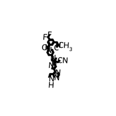 CN(C)Cc1cc(C(=O)N2CCC(N3CC(CC#N)(n4cc(-c5ncnc6[nH]ccc56)cn4)C3)CC2)cc(C(F)F)c1